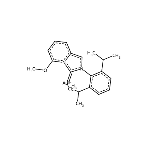 COc1cccc2cn(-c3c(C(C)C)cccc3C(C)C)[c](=[Au-2][Cl])n12